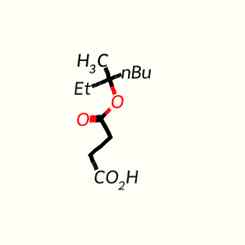 CCCCC(C)(CC)OC(=O)CCC(=O)O